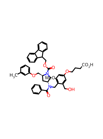 COc1cc(OCCCC(=O)O)cc(CO)c1CN(C(=O)c1ccccc1)[C@@H]1C[C@@H](COc2cccc(C)c2)N(C(=O)OCC2c3ccccc3-c3ccccc32)C1